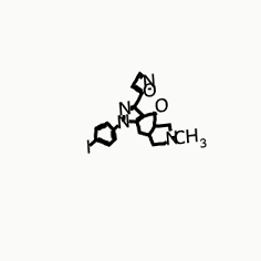 CN1CCC2Cc3c(c(-c4ccno4)nn3-c3ccc(I)cc3)C(=O)C2C1